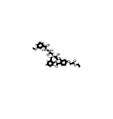 CCOC(=O)COc1ccc(C(=O)N2CC(=O)N(CC(=O)NNC(=O)c3cccc(OC)c3)Cc3ccccc32)c(Cl)c1